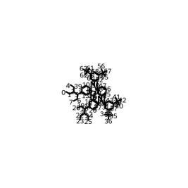 CCC(CC)C(CC)c1ccc2c(c1)B1c3cc(C(CC)C(CC)CC)ccc3N(c3cc(C(C)(C)C)cc(C(C)(C)C)c3)c3cccc(c31)N2c1cc(C(C)(C)C)cc(C(C)(C)C)c1